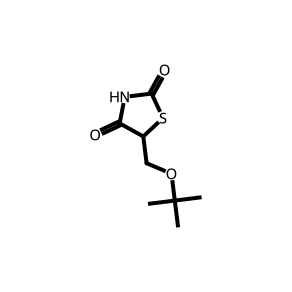 CC(C)(C)OCC1SC(=O)NC1=O